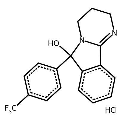 Cl.OC1(c2ccc(C(F)(F)F)cc2)c2ccccc2C2=NCCCN21